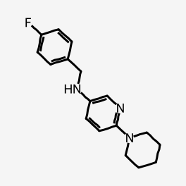 Fc1ccc(CNc2ccc(N3CCCCC3)nc2)cc1